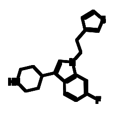 Fc1ccc2c(C3CCNCC3)cn(CCc3ccsc3)c2c1